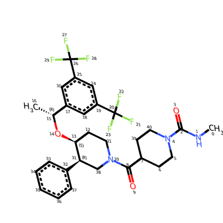 CNC(=O)N1CCC(C(=O)N2CC[C@H](O[C@H](C)c3cc(C(F)(F)F)cc(C(F)(F)F)c3)[C@H](c3ccccc3)C2)CC1